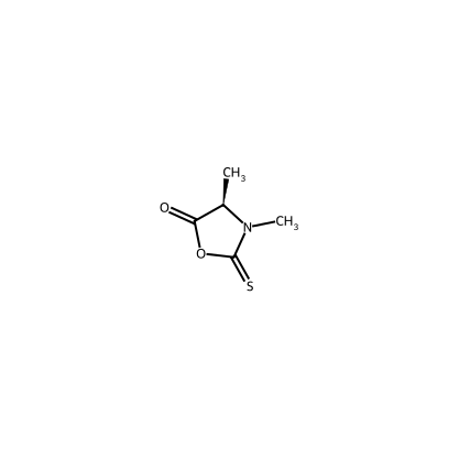 C[C@@H]1C(=O)OC(=S)N1C